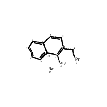 CC(C)Cc1ccc2ccccc2c1S(=O)(=O)O.[Na]